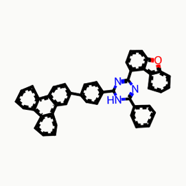 c1ccc(C2=NC(c3cccc4oc5ccccc5c34)=NC(c3ccc(-c4ccc5c6ccccc6c6ccccc6c5c4)cc3)N2)cc1